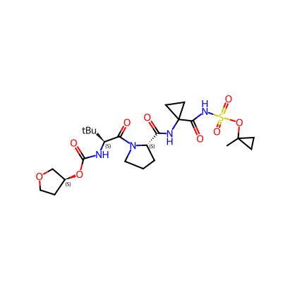 CC1(OS(=O)(=O)NC(=O)C2(NC(=O)[C@@H]3CCCN3C(=O)[C@@H](NC(=O)O[C@H]3CCOC3)C(C)(C)C)CC2)CC1